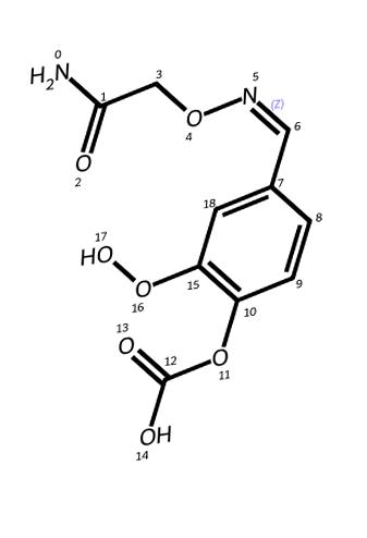 NC(=O)CO/N=C\c1ccc(OC(=O)O)c(OO)c1